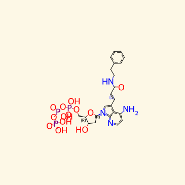 Nc1ccnc2c1c(/C=C/C(=O)NCCc1ccccc1)cn2[C@H]1CC(O)[C@@H](COP(=O)(O)OP(=O)(O)OP(=O)(O)O)O1